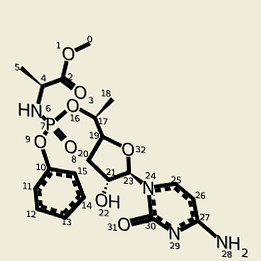 COC(=O)[C@H](C)NP(=O)(Oc1ccccc1)O[C@@H](C)C1C[C@@H](O)[C@H](n2ccc(N)nc2=O)O1